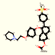 CNC(=O)Oc1ccc2c(Oc3ccc(OCCN4CCCCC4)cc3)c(-c3ccc(S(C)(=O)=O)cc3)ccc2c1